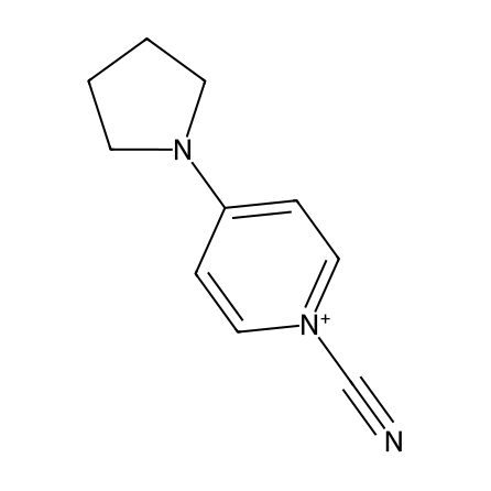 N#C[n+]1ccc(N2CCCC2)cc1